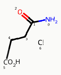 NC(=O)CCC(=O)O.[C]